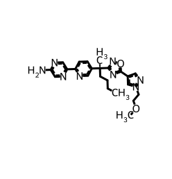 CCCC[C@](C)(c1ccc(-c2cnc(N)cn2)nc1)c1noc(-c2cnn(CCOC)c2)n1